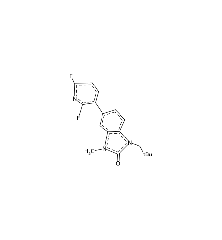 Cn1c(=O)n(CC(C)(C)C)c2ccc(-c3ccc(F)nc3F)cc21